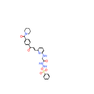 O=C(CNc1cccc(C=CC(=O)c2ccc(C(=O)N3CCCCC3)cc2)n1)NNOS(=O)(=O)c1ccccc1